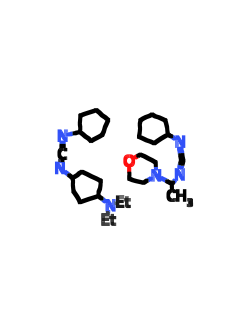 CC(N=C=NC1CCCCC1)N1CCOCC1.CCN(CC)C1CCC(N=C=NC2CCCCC2)CC1